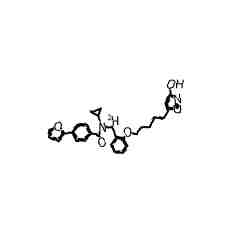 [2H]C(c1ccccc1OCCCCCc1cc(O)no1)N(C(=O)c1ccc(-c2ccco2)cc1)C1CC1